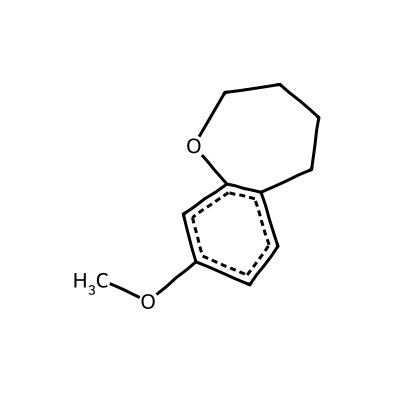 COc1ccc2c(c1)OCCCC2